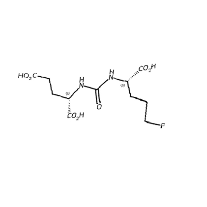 O=C(O)CC[C@H](NC(=O)N[C@@H](CCCF)C(=O)O)C(=O)O